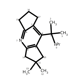 CCCC(C)(C)c1c2c(nc3c1CC(C)(C)C3)CCC2